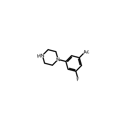 CC(=O)c1cc(F)cc(N2CCNCC2)c1